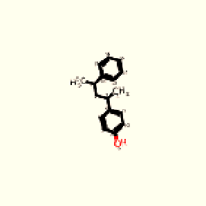 CC(CC(C)c1ccc(O)cc1)c1ccccc1